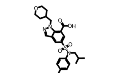 CCc1ccc(N(CC(C)C)S(=O)(=O)c2cc(C(=O)O)c3c(cnn3CC3CCOCC3)c2)cc1